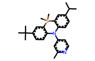 Cc1cc(N2c3ccc(C(C)C)cc3S(C)(C)c3cc(C(C)(C)C)ccc32)ccn1